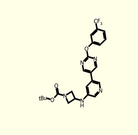 CC(C)(C)OC(=O)N1CC(Nc2cncc(-c3cnc(Oc4cccc(C(F)(F)F)c4)nc3)c2)C1